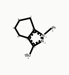 CC(C)n1nc(C(C)(C)C)c2c1CCCC2